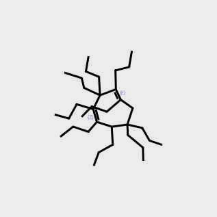 CCC/C1=C(\CCC)C(CCC)(CCC)/C(CCC)=C(\CCC)CC(CCC)(CCC)C1CCC